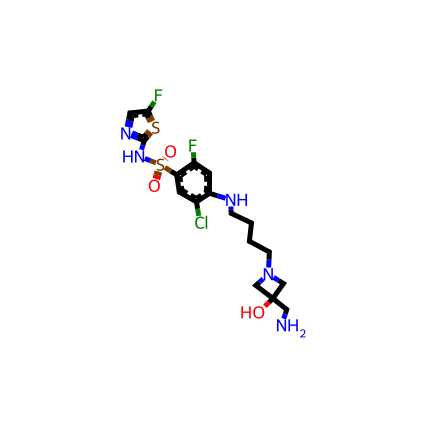 NCC1(O)CN(CCCCNc2cc(F)c(S(=O)(=O)Nc3ncc(F)s3)cc2Cl)C1